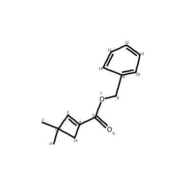 CC1(C)C=C(C(=O)OCc2ccccc2)C1